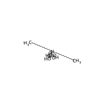 CCCCCCCCCCCCCCCCCCN(CCCCCCCCCCCCCCCCCC)C(=O)CC(O)(CC(=O)O)C(=O)O